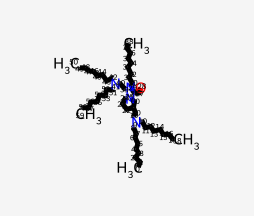 CCCCCCCCCN(CCCCCCCCC)CCC1CCCN(C(C=O)N(CCCCCCCCC)CCN(CCCCCCCCC)CCCCCCCCC)C1